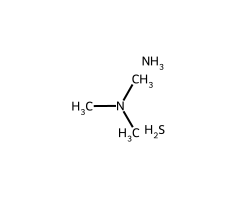 CN(C)C.N.S